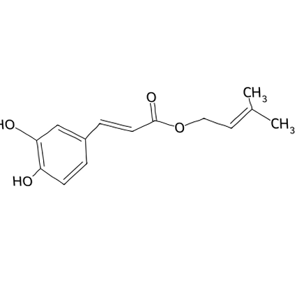 CC(C)=CCOC(=O)/C=C/c1ccc(O)c(O)c1